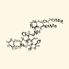 COCCOc1cc2ncnc(Nc3cc(Cl)c(N4CCN(Cc5ccccc5)CC4)c(C4=CC(=O)C=CC4=O)c3)c2cc1OC